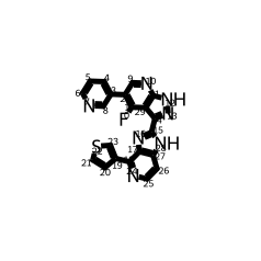 Fc1c(-c2cccnc2)cnc2[nH]nc(-c3nc4c(-c5ccsc5)nccc4[nH]3)c12